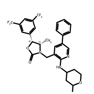 CCC1CC(Nc2ncc(-c3ccccc3)cc2CN2C(=O)O[C@H](c3cc(C(F)(F)F)cc(C(F)(F)F)c3)[C@@H]2C)CCO1